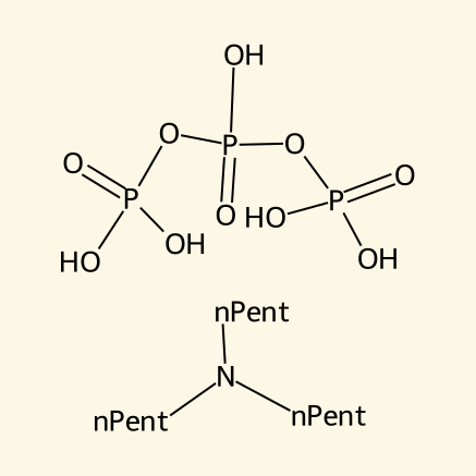 CCCCCN(CCCCC)CCCCC.O=P(O)(O)OP(=O)(O)OP(=O)(O)O